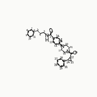 O=C(NCCCc1ccccc1)c1ccc(N2CCN(C(=O)C3CC3c3ccccc3)CC2)nc1